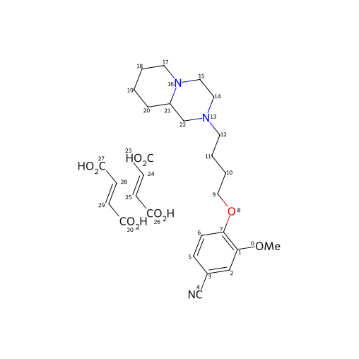 COc1cc(C#N)ccc1OCCCCN1CCN2CCCCC2C1.O=C(O)C=CC(=O)O.O=C(O)C=CC(=O)O